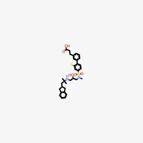 CN(CC(O)CNC(C)(C)CC1Cc2ccccc2C1)S(=O)(=O)c1ccc(-c2cccc(CCC(=O)O)c2)c(F)c1